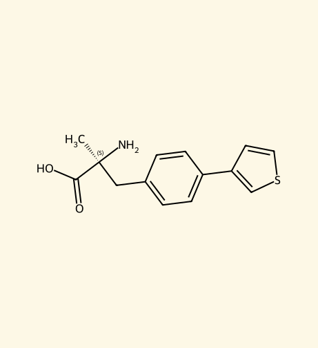 C[C@](N)(Cc1ccc(-c2ccsc2)cc1)C(=O)O